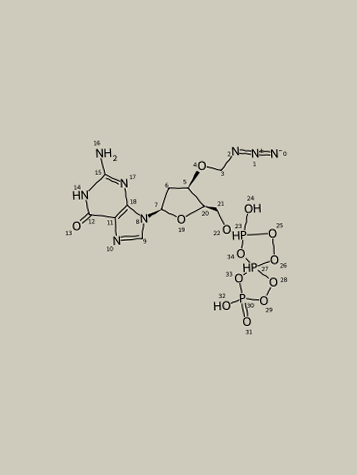 [N-]=[N+]=NCO[C@@H]1C[C@H](n2cnc3c(=O)[nH]c(N)nc32)O[C@@H]1CO[PH]1(O)OO[PH]2(OOP(=O)(O)O2)O1